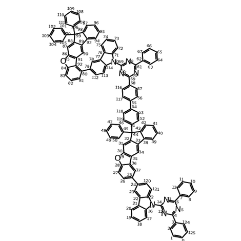 c1ccc(-c2nc(-c3ccccc3)nc(-n3c4ccccc4c4cc(-c5ccc6oc7cc8c(cc7c6c5)-c5ccccc5C8(c5ccccc5)c5ccc(-c6ccc(-c7nc(-c8ccccc8)nc(-n8c9ccccc9c9cc(-c%10cccc%11oc%12cc%13c(cc%12c%10%11)-c%10ccccc%10C%13(c%10ccccc%10)c%10ccccc%10)ccc98)n7)cc6)cc5)ccc43)n2)cc1